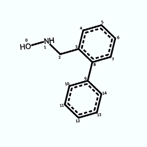 ONCc1ccccc1-c1ccccc1